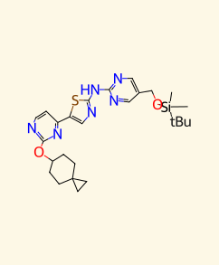 CC(C)(C)[Si](C)(C)OCc1cnc(Nc2ncc(-c3ccnc(OC4CCC5(CC4)CC5)n3)s2)nc1